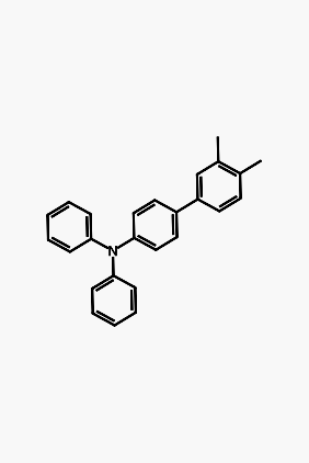 Cc1ccc(-c2ccc(N(c3ccccc3)c3ccccc3)cc2)cc1C